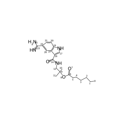 CCCCCCC(=O)OC(C)(C)CNC(=O)c1c[nH]c2ccc(C(=N)N)cc12